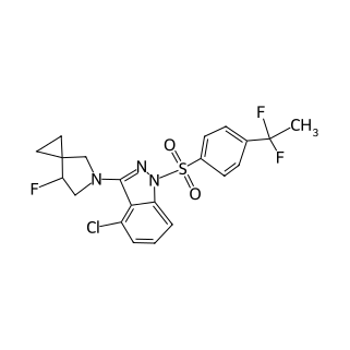 CC(F)(F)c1ccc(S(=O)(=O)n2nc(N3CC(F)C4(CC4)C3)c3c(Cl)cccc32)cc1